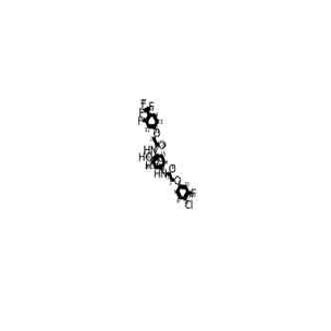 O=C(COc1ccc(Cl)c(F)c1)NC12CCC(NC(=O)COc3ccc(C(F)(F)F)c(F)c3)(CC1)[C@@H](O)C2